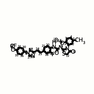 CCC(C)Oc1ccc(C)cc1N1C(=O)CSC1=NC(=O)Nc1ccc(C=Cc2ncn(-c3ccc(OC(F)(F)F)cc3)n2)cc1F